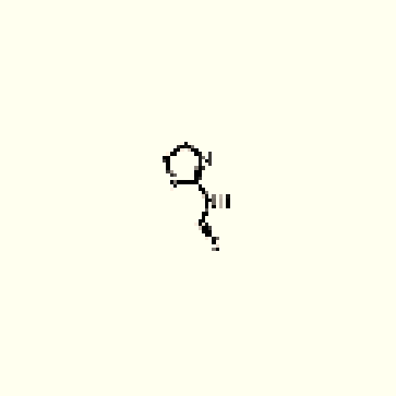 S=[C]NC1=NCCS1